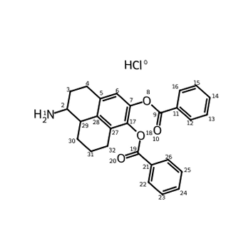 Cl.NC1CCc2cc(OC(=O)c3ccccc3)c(OC(=O)c3ccccc3)c3c2C1CCC3